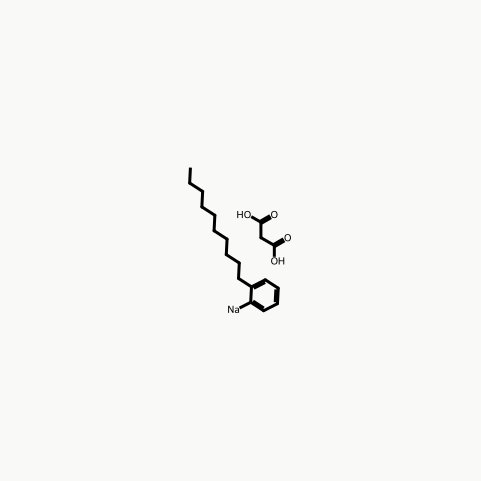 CCCCCCCCCCc1cccc[c]1[Na].O=C(O)CC(=O)O